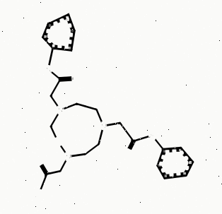 CC(=O)CN1CCN(CC(=O)Nc2ccccc2)CCN(CC(=O)Nc2ccccc2)CC1